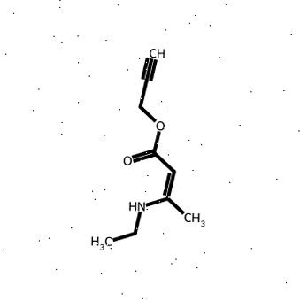 C#CCOC(=O)/C=C(/C)NCC